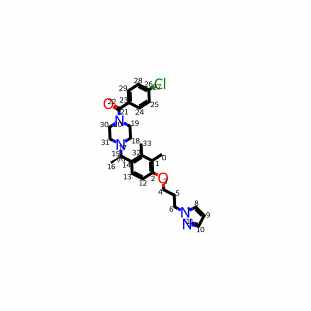 Cc1c(OCCCn2cccn2)ccc([C@@H](C)N2CCN(C(=O)c3ccc(Cl)cc3)CC2)c1C